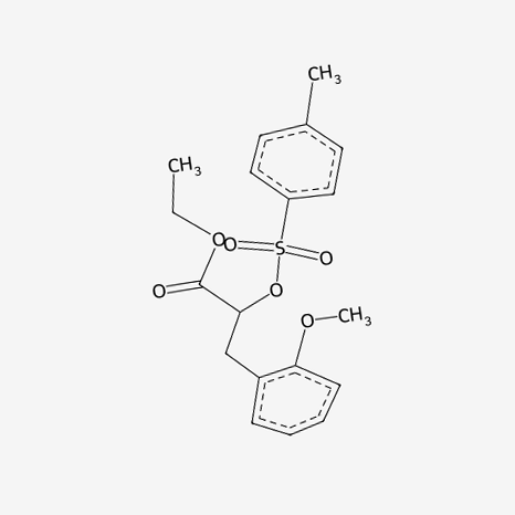 CCOC(=O)C(Cc1ccccc1OC)OS(=O)(=O)c1ccc(C)cc1